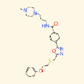 CN1CCN(CCCNC(=O)c2ccc(-c3nnc(CSCCOc4ccccc4)o3)cc2)CC1